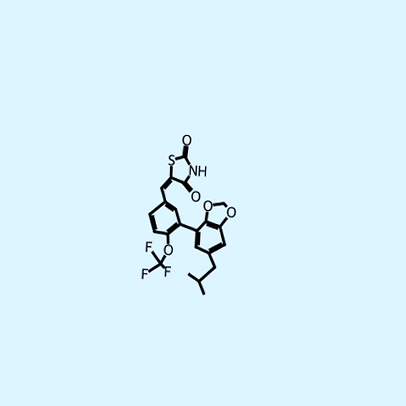 CC(C)Cc1cc2c(c(-c3cc(C=C4SC(=O)NC4=O)ccc3OC(F)(F)F)c1)OCO2